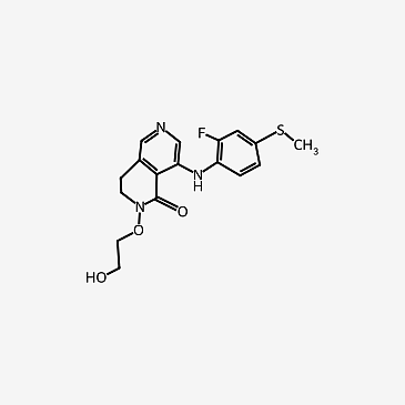 CSc1ccc(Nc2cncc3c2C(=O)N(OCCO)CC3)c(F)c1